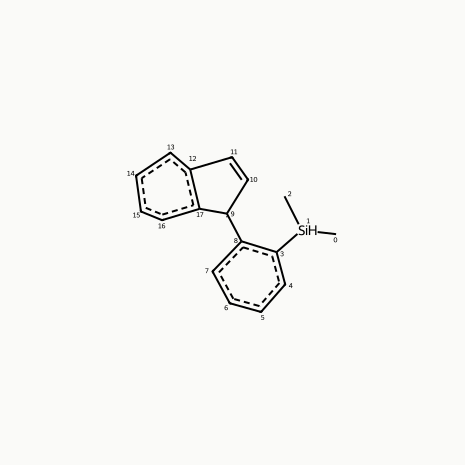 C[SiH](C)c1ccccc1[C]1C=Cc2ccccc21